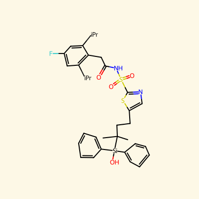 CC(C)c1cc(F)cc(C(C)C)c1CC(=O)NS(=O)(=O)c1ncc(CCC(C)(C)[Si](O)(c2ccccc2)c2ccccc2)s1